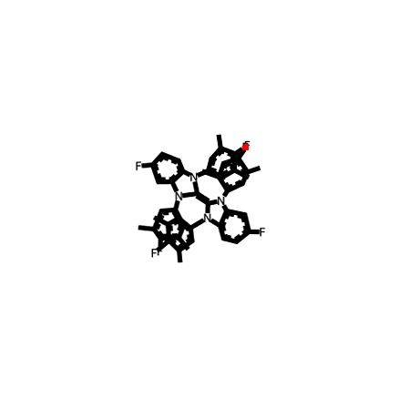 Cc1cc(N2/C(=C3\N(c4cc(C)c(F)c(C)c4)c4ccc(F)cc4N3c3cc(C)c(F)c(C)c3)N(c3cc(C)c(F)c(C)c3)c3ccc(F)cc32)c(C)cc1F